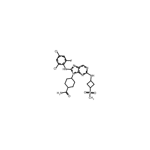 CS(=O)(=O)C1CC(Nc2ncc3nc(Nc4c(F)cc(Cl)cc4Cl)n(C4CCC(C(N)=O)CC4)c3n2)C1